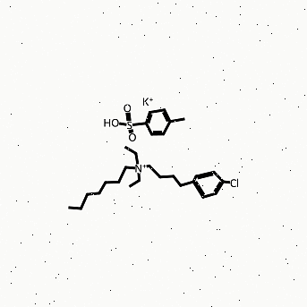 CCCCCCC[N+](CC)(CC)CCCCc1ccc(Cl)cc1.Cc1ccc(S(=O)(=O)O)cc1.[K+]